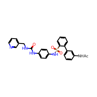 CC(=O)Nc1cccc(-c2ccccc2S(=O)(=O)Nc2ccc(NC(=O)NCc3cccnc3)cc2)c1